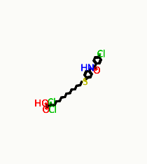 O=C(Nc1ccc(SCCCCCCCCCCCCC(Cl)(Cl)C(=O)O)cc1)c1ccc(Cl)cc1